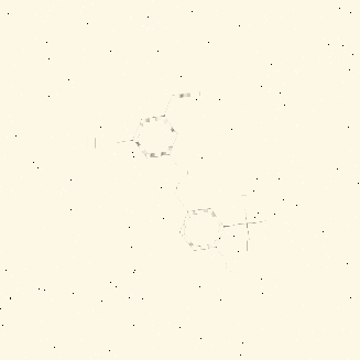 Cc1cc(C=O)cc(OCc2ccc(Cl)c(C(F)(F)F)c2)c1